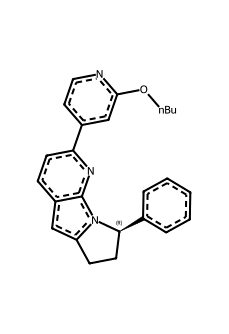 CCCCOc1cc(-c2ccc3cc4n(c3n2)[C@@H](c2ccccc2)CC4)ccn1